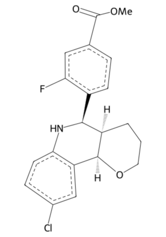 COC(=O)c1ccc([C@@H]2Nc3ccc(Cl)cc3[C@@H]3OCCC[C@H]23)c(F)c1